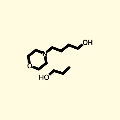 CCCO.OCCCCN1CCOCC1